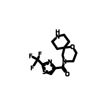 O=C(c1csc(C(F)(F)F)n1)N1CCOC2(CCNCC2)C1